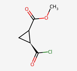 COC(=O)C1C[C@@H]1C(=O)Cl